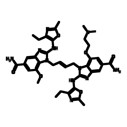 CCc1nc(C)oc1Nc1nc2cc(C(N)=O)cc(OC)c2n1C/C=C/Cn1c(Nc2oc(C)nc2CC)nc2cc(C(N)=O)cc(OCCN(C)C)c21